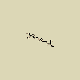 CCC(=O)OCCSSCCOC(=O)CC